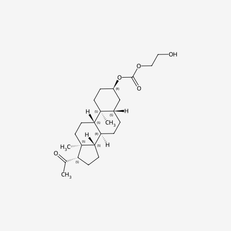 CC(=O)[C@H]1CC[C@H]2[C@@H]3CC[C@H]4C[C@H](OC(=O)OCCO)CC[C@]4(C)[C@H]3CC[C@]12C